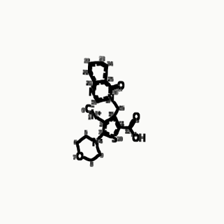 [C-]#[N+]c1c(N2CCOCC2)sc(C(=O)O)c1Cn1cnc2ccccc2c1=O